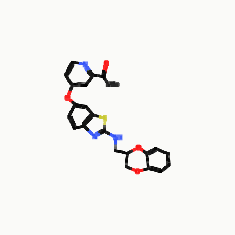 CNC(=O)c1cc(Oc2ccc3nc(NCC4COc5ccccc5O4)sc3c2)ccn1